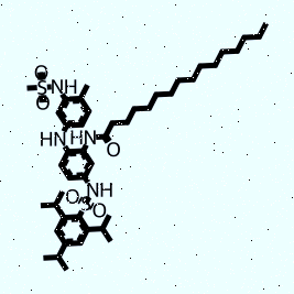 CCCCCCCCCCCCCCCC(=O)Nc1cc(NS(=O)(=O)c2c(C(C)C)cc(C(C)C)cc2C(C)C)ccc1Nc1ccc(C)c(NS(C)(=O)=O)c1